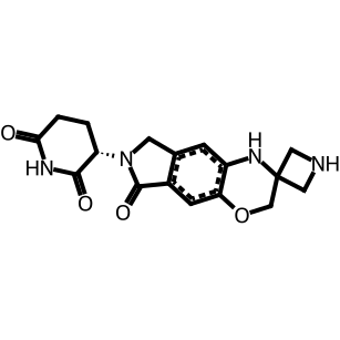 O=C1CC[C@H](N2Cc3cc4c(cc3C2=O)OCC2(CNC2)N4)C(=O)N1